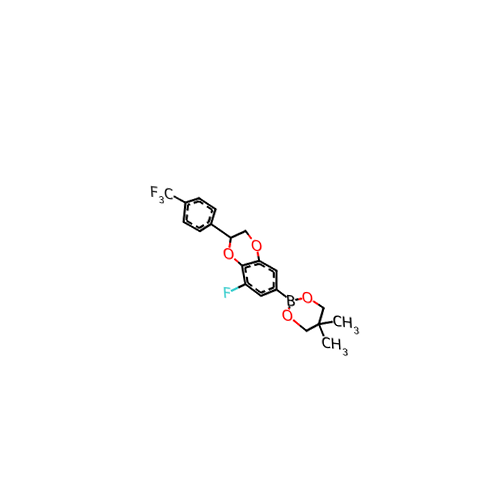 CC1(C)COB(c2cc(F)c3c(c2)OCC(c2ccc(C(F)(F)F)cc2)O3)OC1